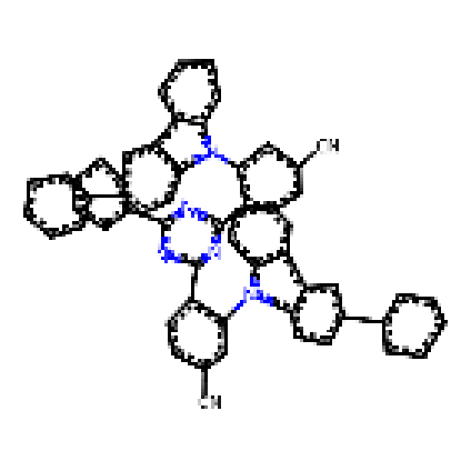 N#Cc1ccc(-c2nc(-c3ccccc3)nc(-c3ccc(C#N)cc3-n3c4ccccc4c4cc(-c5ccccc5)ccc43)n2)c(-n2c3ccccc3c3cc(-c4ccccc4)ccc32)c1